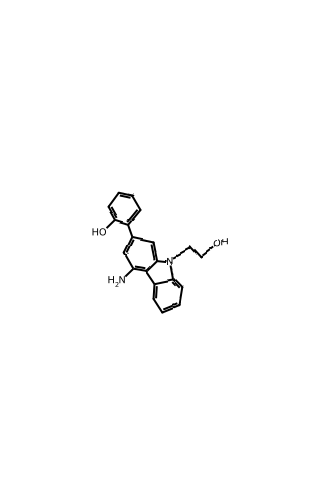 Nc1cc(-c2ccccc2O)cc2c1c1ccccc1n2CCO